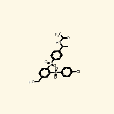 C[C@H](NC(=O)C(F)(F)F)c1ccc(S(=O)(=O)c2ccc(CO)cc2S(=O)(=O)c2ccc(Cl)cc2)cc1